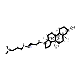 CN(C)CCCO/N=C/CC[C@H]1CC[C@]2(O)[C@@H]3CC[C@@H]4C[C@@H](O)CC[C@]4(C)[C@H]3CC[C@]12C